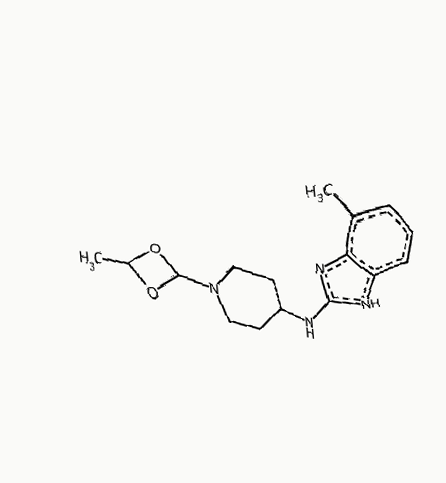 Cc1cccc2[nH]c(NC3CCN(C4OC(C)O4)CC3)nc12